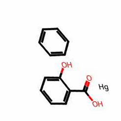 O=C(O)c1ccccc1O.[Hg].c1ccccc1